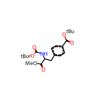 COC(=O)C(Cc1ccc(C(=O)OC(C)(C)C)cc1)NC(=O)OC(C)(C)C